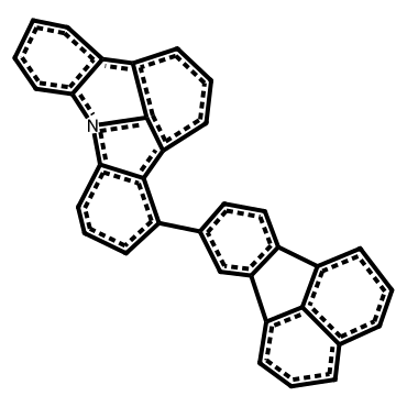 c1cc2c3c(cccc3c1)-c1cc(-c3cccc4c3c3cccc5c6ccccc6n4c53)ccc1-2